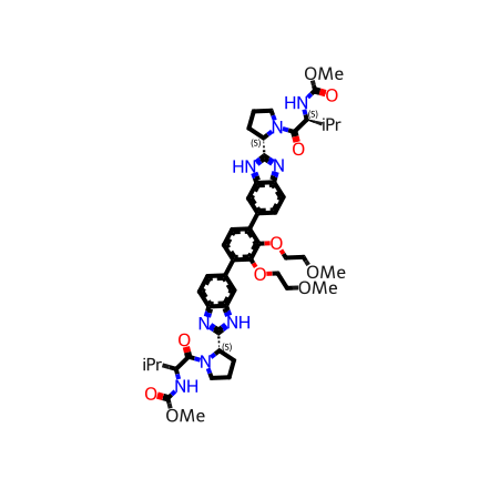 COCCOc1c(-c2ccc3nc([C@@H]4CCCN4C(=O)C(NC(=O)OC)C(C)C)[nH]c3c2)ccc(-c2ccc3nc([C@@H]4CCCN4C(=O)[C@@H](NC(=O)OC)C(C)C)[nH]c3c2)c1OCCOC